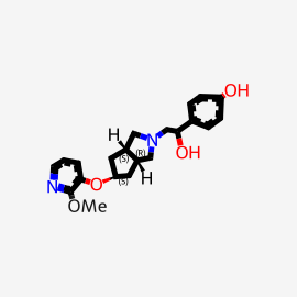 COc1ncccc1O[C@H]1C[C@@H]2CN(CC(O)c3ccc(O)cc3)C[C@@H]2C1